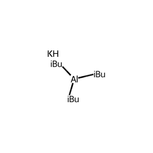 CC[CH](C)[Al]([CH](C)CC)[CH](C)CC.[KH]